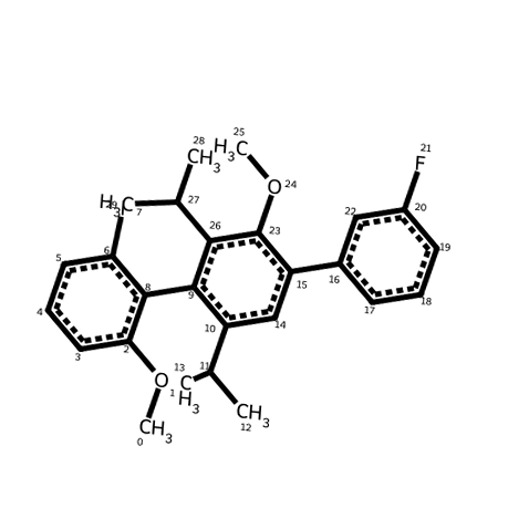 COc1cccc(I)c1-c1c(C(C)C)cc(-c2cccc(F)c2)c(OC)c1C(C)C